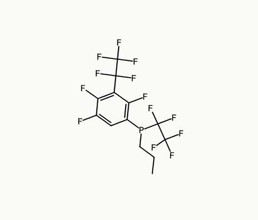 CCCP(c1cc(F)c(F)c(C(F)(F)C(F)(F)F)c1F)C(F)(F)C(F)(F)F